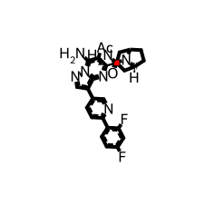 CC(=O)c1c([C@H]2CC3CC[C@@H](C2)N3C(N)=O)nc2c(-c3ccc(-c4ccc(F)cc4F)nc3)cnn2c1N